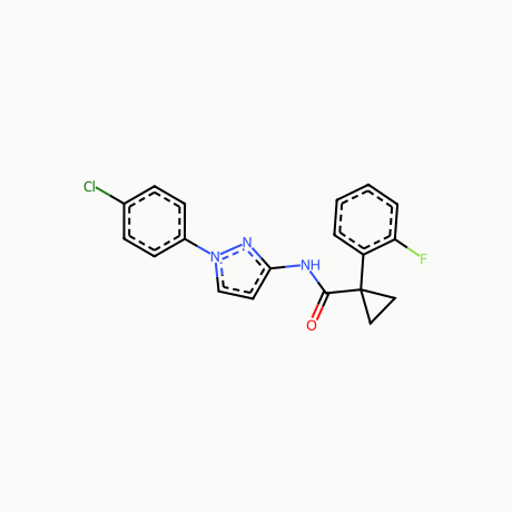 O=C(Nc1ccn(-c2ccc(Cl)cc2)n1)C1(c2ccccc2F)CC1